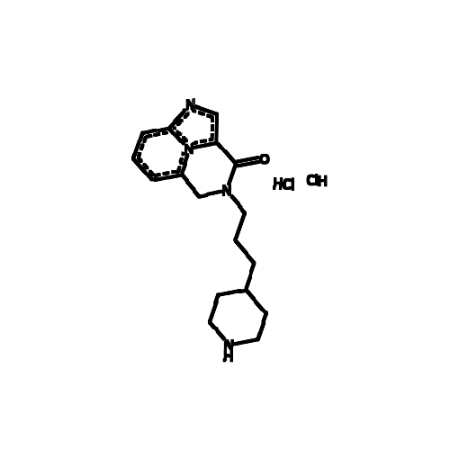 Cl.Cl.O=C1c2cnc3cccc(n23)CN1CCCC1CCNCC1